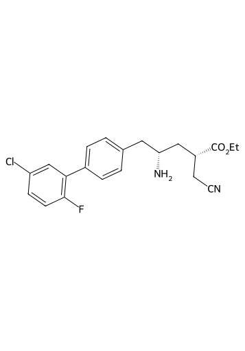 CCOC(=O)[C@H](CC#N)C[C@H](N)Cc1ccc(-c2cc(Cl)ccc2F)cc1